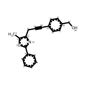 Cc1oc(-c2ccccc2)nc1CC#Cc1ccc(CO)cc1